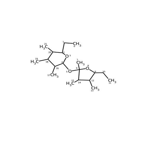 CCC1OC(OC2(C)OC(CC)C(C)C2C)C(C)C(C)C1C